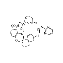 C[C@@H](CO[C@@H]1CCO[C@H]([C@@H]2CC[C@H]2CN2CC3(CCCc4cc(Cl)ccc43)COc3ccc(C(=O)O)cc32)C1)Sc1ncccn1